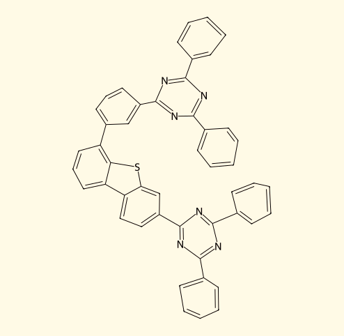 c1ccc(-c2nc(-c3ccccc3)nc(-c3cccc(-c4cccc5c4sc4cc(-c6nc(-c7ccccc7)nc(-c7ccccc7)n6)ccc45)c3)n2)cc1